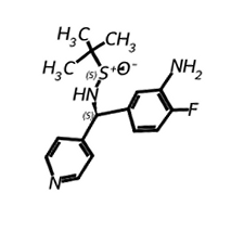 CC(C)(C)[S@@+]([O-])N[C@H](c1ccncc1)c1ccc(F)c(N)c1